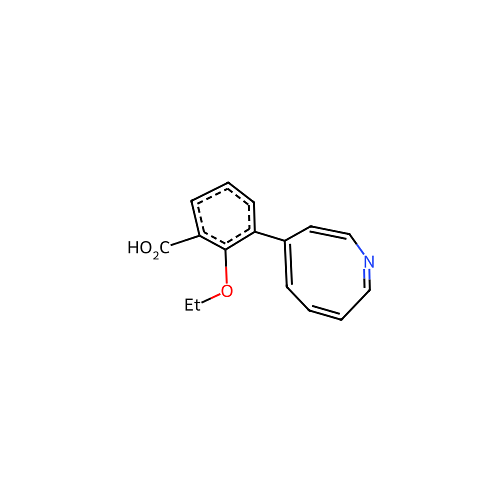 CCOc1c(C(=O)O)cccc1C1=CC=CC=NC=C1